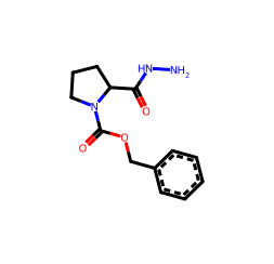 NNC(=O)C1CCCN1C(=O)OCc1ccccc1